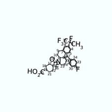 CC(F)(c1ccc2c(c1)CCC1N(C(=O)[C@]3(F)CC[C@@H](C(=O)O)CC3)CCCC21Cc1ccc(F)cc1)C(F)(F)F